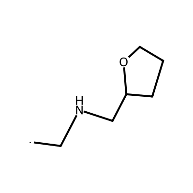 [CH2]CNCC1CCCO1